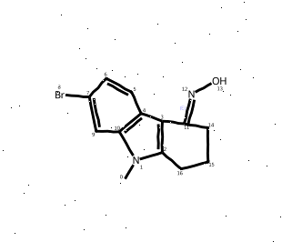 Cn1c2c(c3ccc(Br)cc31)/C(=N/O)CCC2